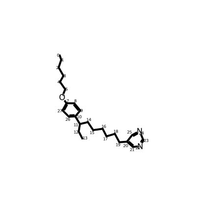 CCCCCCOc1ccc(C(CC)CCCCCCc2cncnc2)cc1